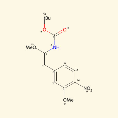 COc1cc(CC(NC(=O)OC(C)(C)C)OC)ccc1[N+](=O)[O-]